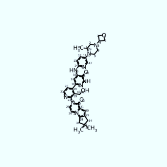 C[C@H]1CN(C2COC2)CCN1c1ccc(Nc2cc(-c3ccnc(-n4ccn5c6c(cc5c4=O)CC(C)(C)C6)c3CO)n[nH]c2=O)nc1